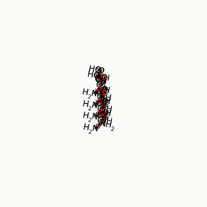 COc1ccc(OC(=O)[C@H](CCCCN)NC(=O)c2cc(NC(=O)[C@H](CCCCN)NC(=O)c3cc(NC(=O)[C@H](CCCCN)NC(=O)c4cc(NC(=O)[C@@H](N)CCCCN)ccc4OC)ccc3OC)ccc2OC)cc1C(=O)N[C@@H](CCC(=O)O)C(=O)O